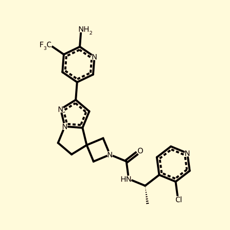 C[C@H](NC(=O)N1CC2(CCn3nc(-c4cnc(N)c(C(F)(F)F)c4)cc32)C1)c1ccncc1Cl